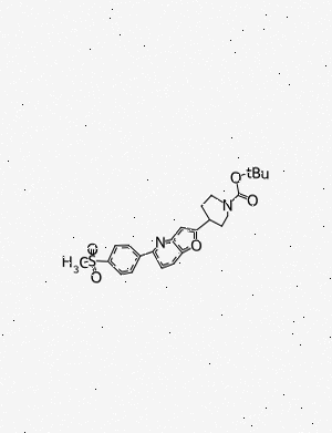 CC(C)(C)OC(=O)N1CCC(c2cc3nc(-c4ccc(S(C)(=O)=O)cc4)ccc3o2)CC1